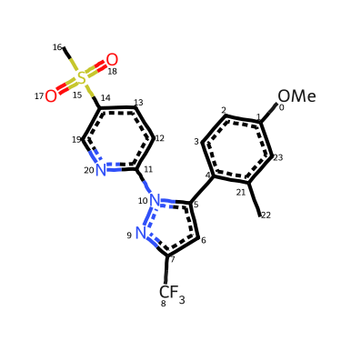 COc1ccc(-c2cc(C(F)(F)F)nn2-c2ccc(S(C)(=O)=O)cn2)c(C)c1